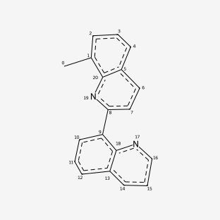 Cc1cccc2ccc(-c3cccc4cccnc34)nc12